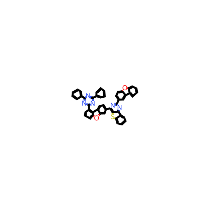 c1ccc(-c2nc(-c3ccccc3)nc(-c3cccc4oc5cc(-c6nc(-c7ccc8oc9ccccc9c8c7)nc7c6sc6ccccc67)ccc5c34)n2)cc1